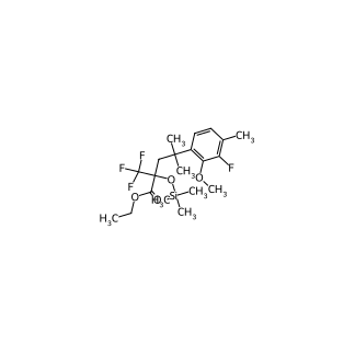 CCOC(=O)C(CC(C)(C)c1ccc(C)c(F)c1OC)(O[Si](C)(C)C)C(F)(F)F